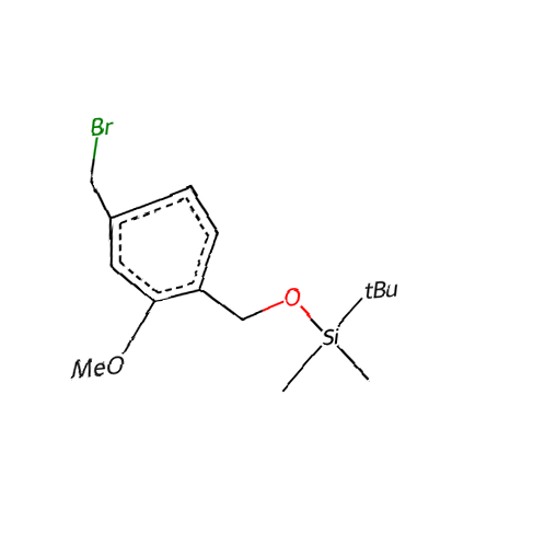 COc1cc(CBr)ccc1CO[Si](C)(C)C(C)(C)C